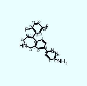 Nc1ccc(-c2ccc3c(c2)CNCC=C3c2cc(F)ccc2F)nn1